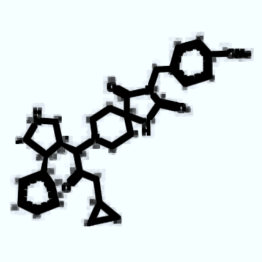 COc1ccc(CN2C(=O)NC3(CCN(C(C(=O)CC4CC4)[C@@H]4CNC[C@@H]4c4ccccc4)CC3)C2=O)cc1